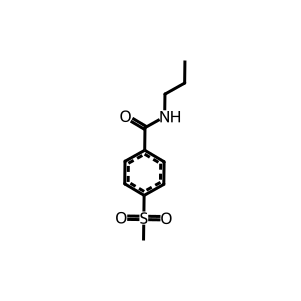 CCCNC(=O)c1ccc(S(C)(=O)=O)cc1